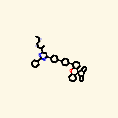 C=C(/C=C\C=C/C)c1cc(-c2ccc(-c3ccc(-c4cccc5c4Oc4ccccc4C54c5ccccc5-c5ccccc54)cc3)cc2)nc(-c2ccccc2)n1